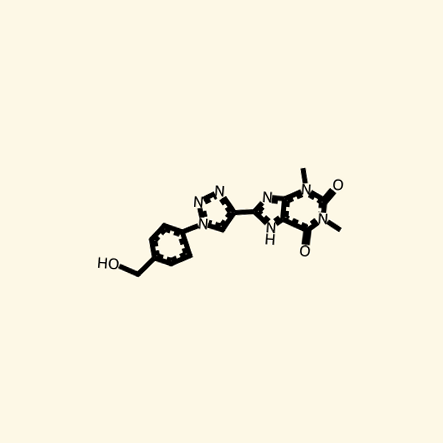 Cn1c(=O)c2[nH]c(-c3cn(-c4ccc(CO)cc4)nn3)nc2n(C)c1=O